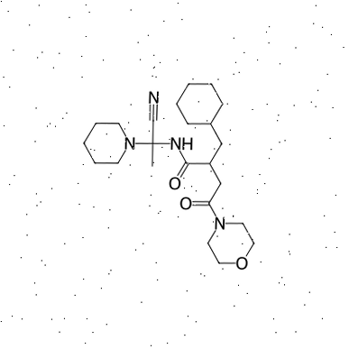 CC(C#N)(NC(=O)C(CC(=O)N1CCOCC1)CC1CCCCC1)N1CCCCC1